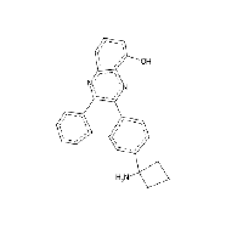 NC1(c2ccc(-c3nc4c(O)cccc4nc3-c3ccccc3)cc2)CCC1